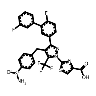 N[S+]([O-])c1ccc(Cc2c(-c3ccc(F)c(-c4cccc(F)c4)c3)nn(-c3nc(C(=O)O)cs3)c2C(F)(F)F)cc1